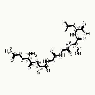 CC(C)C[C@H](NC(=O)[C@H](CO)NC(=O)CNC(=O)CNC(=O)[C@H](C)NC(=O)[C@@H](N)CCC(N)=O)C(=O)O